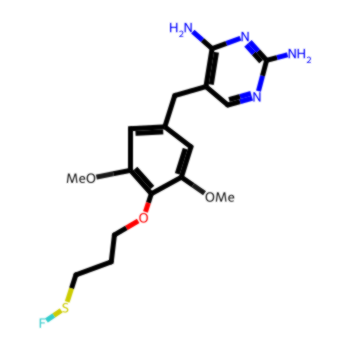 COc1cc(Cc2cnc(N)nc2N)cc(OC)c1OCCCSF